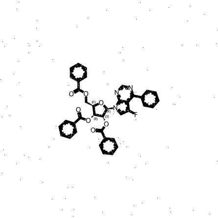 O=C(OC[C@H]1O[C@@H](n2cc(F)c3c(-c4ccccc4)ncnc32)[C@H](OC(=O)c2ccccc2)[C@@H]1OC(=O)c1ccccc1)c1ccccc1